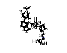 CC(C)n1ccc(-c2ccc3c(c2NC(=O)NS(=O)(=O)c2ccn(C/C=C/B(O)O)n2)CCC3)cc1=O